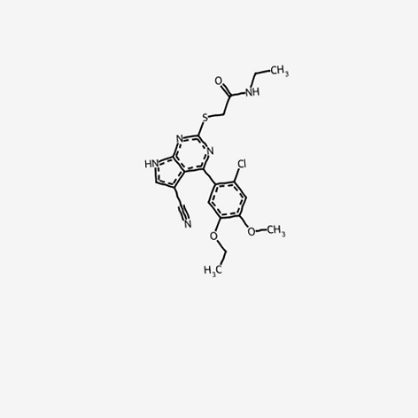 CCNC(=O)CSc1nc(-c2cc(OCC)c(OC)cc2Cl)c2c(C#N)c[nH]c2n1